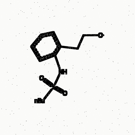 CCCCS(=O)(=O)Nc1ccccc1CC[O]